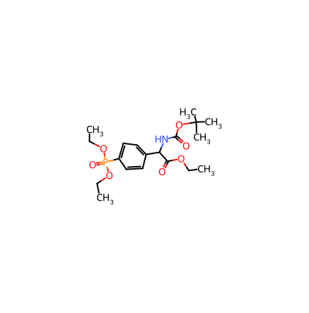 CCOC(=O)C(NC(=O)OC(C)(C)C)c1ccc(P(=O)(OCC)OCC)cc1